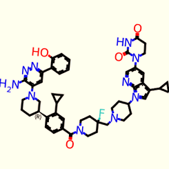 Nc1nnc(-c2ccccc2O)cc1N1CCC[C@H](c2ccc(C(=O)N3CCC(F)(CN4CCC(n5cc(C6CC6)c6cc(N7CCC(=O)NC7=O)cnc65)CC4)CC3)cc2C2CC2)C1